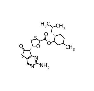 CC(C)C[C@@H]1CC[C@@H](C)C[C@H]1OC(=O)[C@H]1O[C@H](C2C(=O)Sc3cnc(N)nc32)CS1